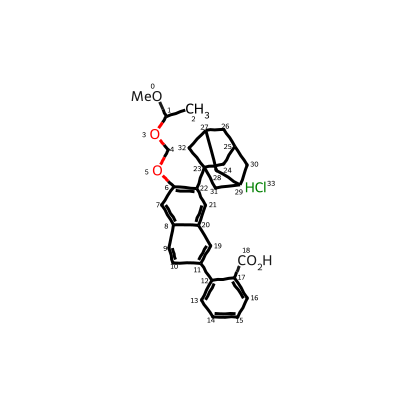 COC(C)OCOc1cc2ccc(-c3ccccc3C(=O)O)cc2cc1C12CC3CC(CC(C3)C1)C2.Cl